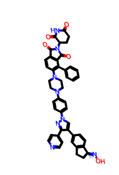 O=C1CCC(N2C(=O)c3ccc(N4CCN(c5ccc(-n6cc(-c7ccc8c(c7)CC/C8=N\O)c(-c7ccncc7)n6)cc5)CC4)c(-c4ccccc4)c3C2=O)C(=O)N1